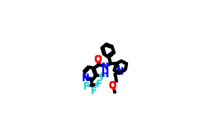 COCCN1C2CCC1(C(NC(=O)c1ccnc(C(F)(F)F)c1F)c1ccccc1)CC2